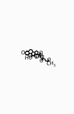 CC(=O)CCC(=O)OCC(=O)C1(O)CCC2C3CCC4=CC(=O)C=CC4(C)C3C(O)CC21C